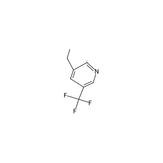 CCc1[c]ncc(C(F)(F)F)c1